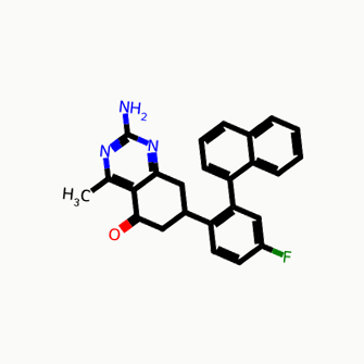 Cc1nc(N)nc2c1C(=O)CC(c1ccc(F)cc1-c1cccc3ccccc13)C2